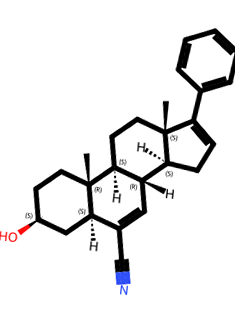 C[C@]12CC[C@H](O)C[C@@H]1C(C#N)=C[C@@H]1[C@@H]2CC[C@]2(C)C(c3ccccc3)=CC[C@@H]12